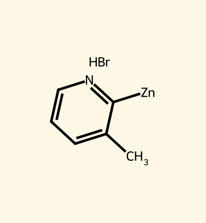 Br.Cc1cccn[c]1[Zn]